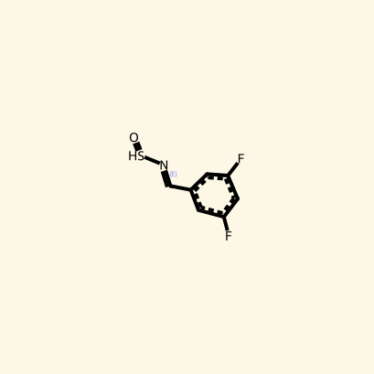 O=[SH]/N=C/c1cc(F)cc(F)c1